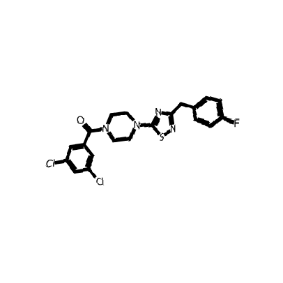 O=C(c1cc(Cl)cc(Cl)c1)N1CCN(c2nc(Cc3ccc(F)cc3)ns2)CC1